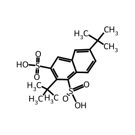 CC(C)(C)c1ccc2c(S(=O)(=O)O)c(C(C)(C)C)c(S(=O)(=O)O)cc2c1